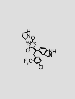 O=C1S/C(=C(/Cc2ccc(Cl)cc2C(F)(F)F)c2ccc3[nH]ncc3c2)C(=O)N1C[C@@H]1CCCN1